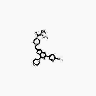 CN(C)C(=O)N1CCN(Cc2cc3nc(-c4cnc(N)nc4)nc(N4CCOCC4)c3s2)CC1